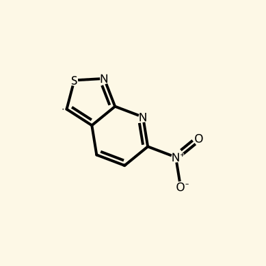 O=[N+]([O-])c1ccc2[c]snc2n1